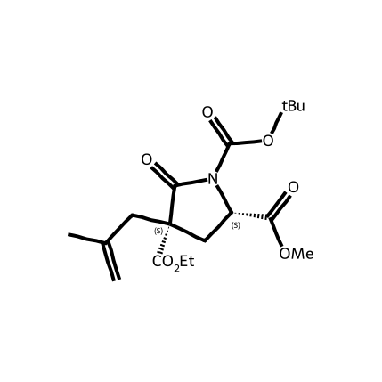 C=C(C)C[C@]1(C(=O)OCC)C[C@@H](C(=O)OC)N(C(=O)OC(C)(C)C)C1=O